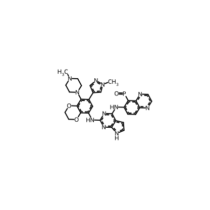 CN1CCN(c2c(-c3cnn(C)c3)cc(Nc3nc(Nc4ccc5nccnc5c4P=O)c4cc[nH]c4n3)c3c2OCCO3)CC1